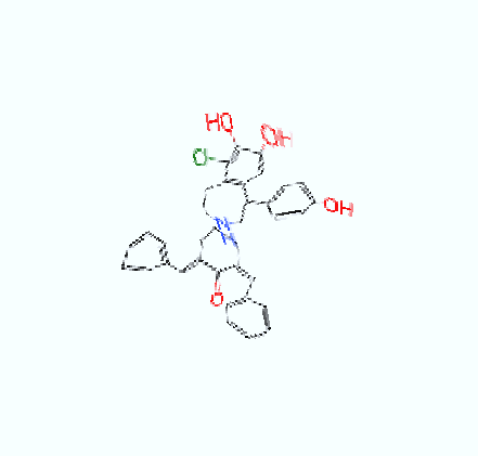 O=C1C(=Cc2ccccc2)CCCC1=Cc1ccccc1.Oc1ccc(C2CNCCc3c2cc(O)c(O)c3Cl)cc1